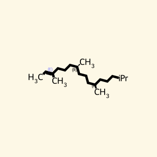 C/C=C(\C)CCC[C@H](C)CCC[C@H](C)CCCC(C)C